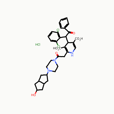 Cl.O=C(O)C1=CNC(CC(=O)N2CCN(C3CC4CC(O)CC4C3)CC2)=C(C(=O)O)C1C(C(=O)c1ccccc1)c1c(Cl)cccc1Cl